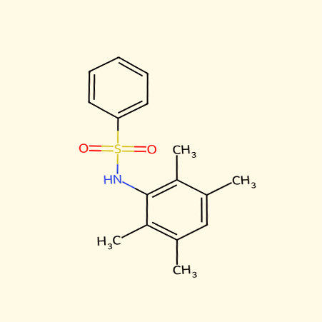 Cc1cc(C)c(C)c(NS(=O)(=O)c2ccccc2)c1C